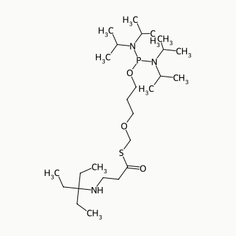 CCC(CC)(CC)NCCC(=O)SCOCCCOP(N(C(C)C)C(C)C)N(C(C)C)C(C)C